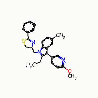 CCc1c(-c2ccc(OC)nc2)c2cc(C)ccc2n1CC1CSC(c2ccccc2)=N1